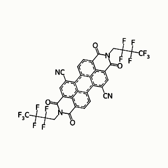 N#Cc1cc2c3c(ccc4c5c(C#N)cc6c7c(ccc(c1c34)c75)C(=O)N(CC(F)(F)C(F)(F)C(F)(F)F)C6=O)C(=O)N(CC(F)(F)C(F)(F)C(F)(F)F)C2=O